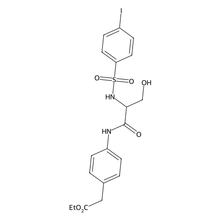 CCOC(=O)Cc1ccc(NC(=O)C(CO)NS(=O)(=O)c2ccc(I)cc2)cc1